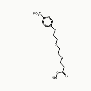 CC(C)(C)OC(=O)CCOCCOCCOc1ccc(C(=O)O)nc1